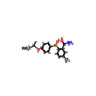 CCOC(=O)C(C)Oc1ccc([S+]([O-])c2ccc(C(F)(F)F)cc2C(N)=O)cc1